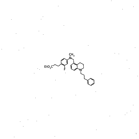 CCOC(=O)CCc1ccc(N(C)Cc2cccc3c2CCCN3CCCc2ccccc2)cc1F